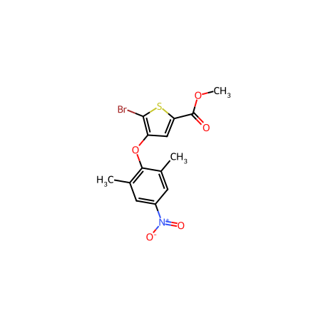 COC(=O)c1cc(Oc2c(C)cc([N+](=O)[O-])cc2C)c(Br)s1